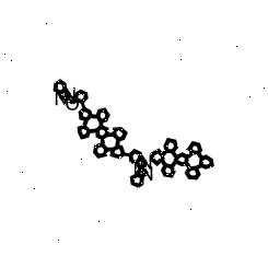 c1ccc2c(c1)nc1oc3c(-c4ccc5c6ccccc6c6cc7c8ccccc8c8ccc(-c9ccc%10c(c9)n9c%11ccccc%11nc9n%10-c9ccc%10c%11ccccc%11c%11cc%12c%13ccccc%13c%13ccccc%13c%13ccccc%13c%12cc%11c%11ccccc%11c%10c9)cc8c8ccccc8c7cc6c6ccccc6c5c4)cccc3n12